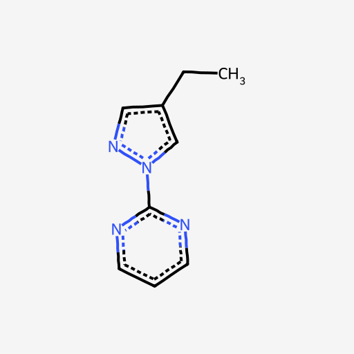 CCc1cnn(-c2ncccn2)c1